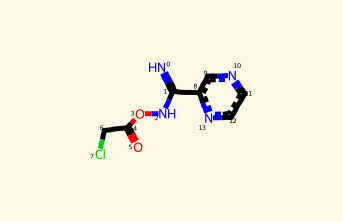 N=C(NOC(=O)CCl)c1cnccn1